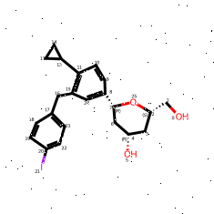 OC[C@@H]1C[C@H](O)C[C@H](c2ccc(C3CC3)c(Cc3ccc(I)cc3)c2)O1